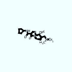 CN(C)Cc1ccn2c(=O)c(C(=O)NC3CCCC3)cnc2c1O